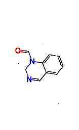 O=CN1CN=Cc2ccccc21